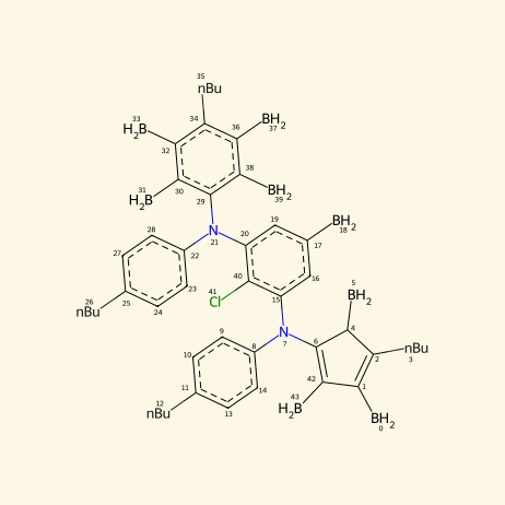 BC1=C(CCCC)C(B)C(N(c2ccc(CCCC)cc2)c2cc(B)cc(N(c3ccc(CCCC)cc3)c3c(B)c(B)c(CCCC)c(B)c3B)c2Cl)=C1B